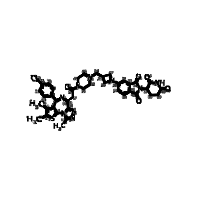 Cc1sc2c(c1C)C(c1ccc(Cl)cc1)=N[C@@H](CC(=O)N1CCN(CC3CN(c4ccc5c(c4)C(=O)N(C4CCC(=O)NC4=O)C5=O)C3)CC1)c1nnc(C)n1-2